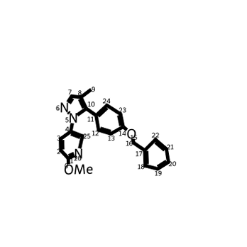 COc1ccc(-n2ncc(C)c2-c2ccc(OCc3ccccc3)cc2)cn1